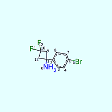 NC1(c2ccc(Br)cc2)CC(F)(F)C1